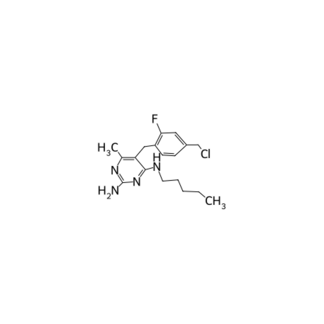 CCCCCNc1nc(N)nc(C)c1Cc1ccc(CCl)cc1F